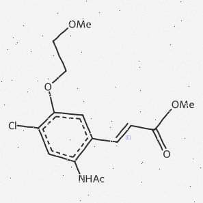 COCCOc1cc(/C=C/C(=O)OC)c(NC(C)=O)cc1Cl